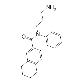 NCCCN(C(=O)c1ccc2c(c1)CCCC2)c1ccccc1